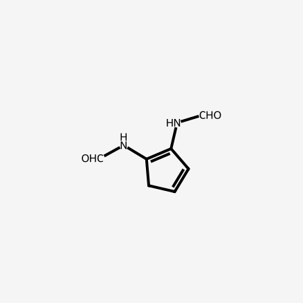 O=CNC1=C(NC=O)CC=C1